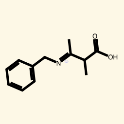 C/C(=N\Cc1ccccc1)C(C)C(=O)O